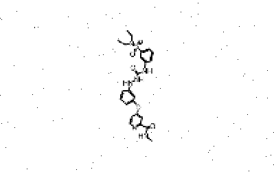 CCN(CC)S(=O)(=O)c1cccc(NC(=O)NNc2cccc(Oc3ccnc(C(=O)NC)c3)c2)c1